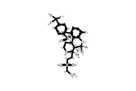 [2H]C1([2H])Oc2c(F)ccc(F)c2[C@]2(S(=O)(=O)c3ccc(C(F)(F)F)cc3)CCO[C@@]([2H])(CCS(=O)(=O)CC)[C@]12F